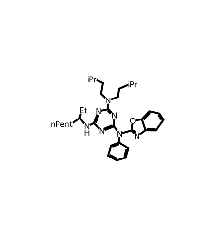 CCCCCC(CC)Nc1nc(N(CCC(C)C)CCC(C)C)nc(N(c2ccccc2)c2nc3ccccc3o2)n1